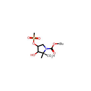 CC(C)(C)OC(=O)N1CC(OS(C)(=O)=O)C(O)[C@]1(C)C(=O)O